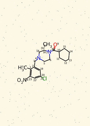 Cc1c(CN2CCN(C(=O)C3CCCCC3)[C@@H](C)C2)cc(Cl)cc1[N+](=O)[O-]